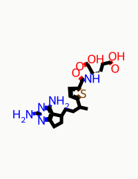 CC(CCC1CCc2nc(N)nc(N)c21)c1ccc(C(=O)N[C@@H](CCC(=O)O)C(=O)O)s1